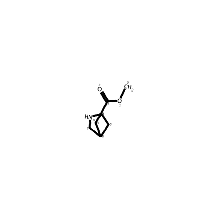 COC(=O)C12CC(CN1)C2